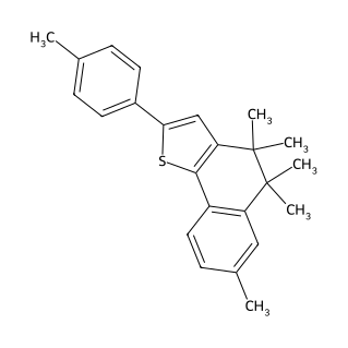 Cc1ccc(-c2cc3c(s2)-c2ccc(C)cc2C(C)(C)C3(C)C)cc1